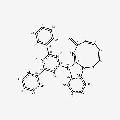 C=C1/C=C\C=C/CN2/C(=N\1)N(c1nc(-c3ccccc3)nc(-c3ccccc3)n1)c1ccccc12